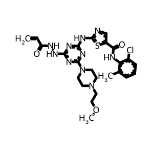 C=CC(=O)NNc1nc(Nc2ncc(C(=O)Nc3c(C)cccc3Cl)s2)nc(N2CCN(CCOC)CC2)n1